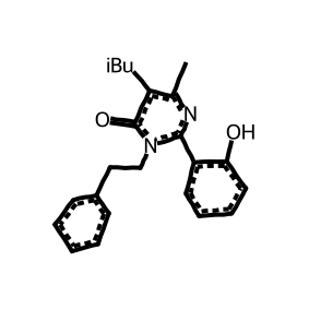 CCC(C)c1c(C)nc(-c2ccccc2O)n(CCc2ccccc2)c1=O